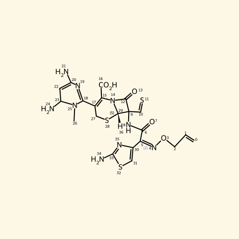 C=CCO/N=C(\C(=O)NC1(C=S)C(=O)N2C(C(=O)O)=C(C3=NC(N)=CC(N)N3C)CS[C@H]21)c1csc(N)n1